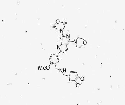 COc1ccc(-c2ccc3c(N4CCOCC4)nc(N4C[C@@H](C)O[C@@H](C)C4)nc3n2)cc1CNCc1ccc2c(c1)OCO2